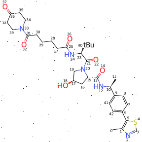 Cc1ncsc1-c1ccc([C@H](C)NC(=O)[C@@H]2C[C@@H](O)CN2C(=O)[C@@H](NC(=O)CCCCC(=O)N2CCC(=O)CC2)C(C)(C)C)cc1